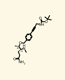 CN[C@@H](CCC(N)=O)[C@@H](C)OCc1ccc(C#CCNC(=O)OC(C)(C)C)cc1